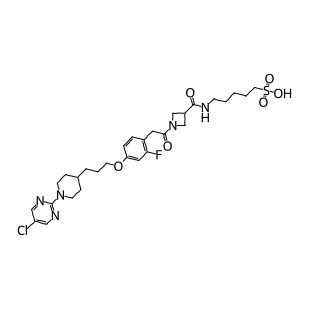 O=C(NCCCCCS(=O)(=O)O)C1CN(C(=O)Cc2ccc(OCCCC3CCN(c4ncc(Cl)cn4)CC3)cc2F)C1